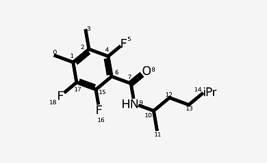 Cc1c(C)c(F)c(C(=O)NC(C)CCC(C)C)c(F)c1F